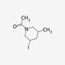 CC(=O)N1CC(C)CC(I)C1